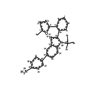 Cc1nnc(-c2ccccc2-c2nc3cc(-c4cnc(N)nc4)ccc3n2C(C)(C)C)o1